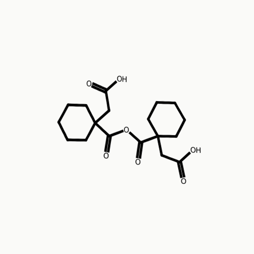 O=C(O)CC1(C(=O)OC(=O)C2(CC(=O)O)CCCCC2)CCCCC1